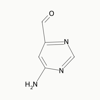 Nc1cc(C=O)ncn1